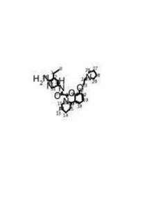 CCc1cc(NC(=O)C(=O)N2C[C@@H](C)CC[C@@H]2c2cccc(OCCN3CCCC3)c2)cnc1N